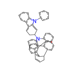 C1=CC2=C3c4cccc(N(c5ccccc5)C5C=c6c(c7ccccc7n6-c6ccccc6)=CC5)c4-c4cccc(c4-c4ccccc42)C3C1